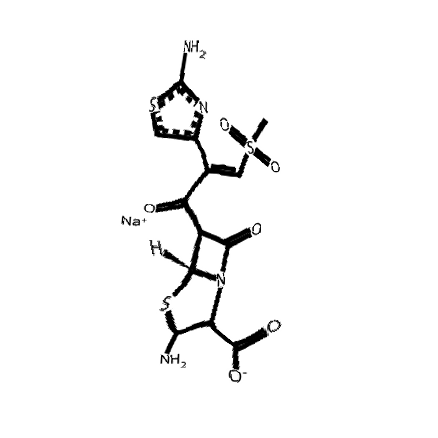 CS(=O)(=O)C=C(C(=O)C1C(=O)N2C(C(=O)[O-])C(N)S[C@H]12)c1csc(N)n1.[Na+]